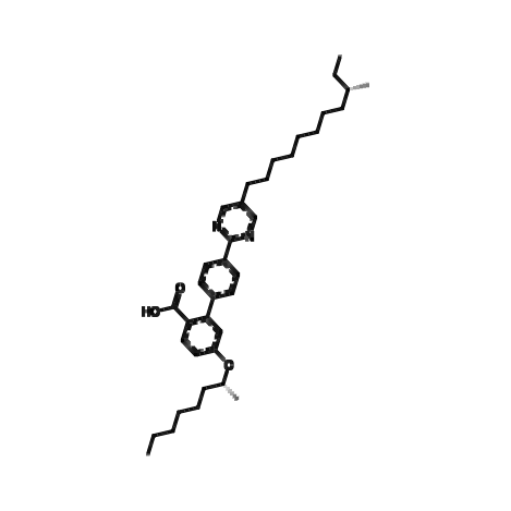 CCCCCC[C@@H](C)Oc1ccc(C(=O)O)c(-c2ccc(-c3ncc(CCCCCCCC[C@@H](C)CC)cn3)cc2)c1